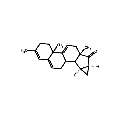 CC1=CC2=CCC3C(=CC[C@]4(C)C(=O)[C@H]5C[C@H]5C34)[C@@]2(C)CC1